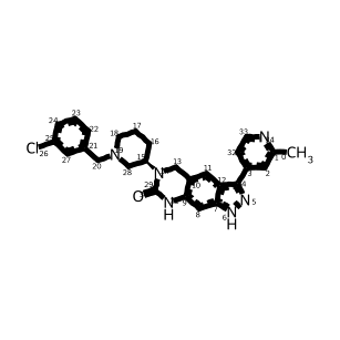 Cc1cc(-c2n[nH]c3cc4c(cc23)CN([C@@H]2CCCN(Cc3cccc(Cl)c3)C2)C(=O)N4)ccn1